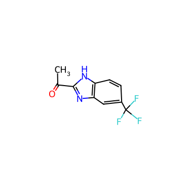 CC(=O)c1nc2cc(C(F)(F)F)ccc2[nH]1